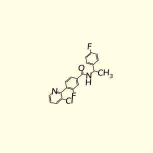 CC(NC(=O)c1ccc(-c2ncccc2Cl)c(F)c1)c1ccc(F)cc1